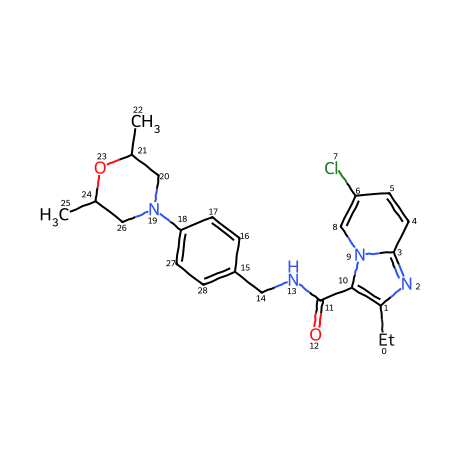 CCc1nc2ccc(Cl)cn2c1C(=O)NCc1ccc(N2CC(C)OC(C)C2)cc1